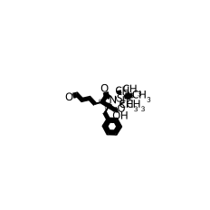 CC(C)(C)[Si](C)(C)N1C(=O)[C@H](CCCC=O)[C@@]1(Cc1ccccc1)C(=O)O